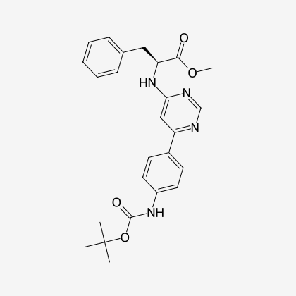 COC(=O)[C@H](Cc1ccccc1)Nc1cc(-c2ccc(NC(=O)OC(C)(C)C)cc2)ncn1